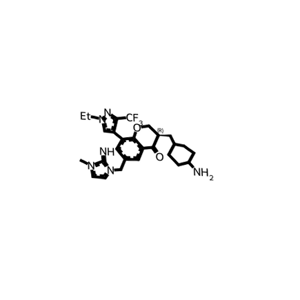 CCn1cc(-c2cc(Cn3ccn(C)c3=N)cc3c2OC[C@@H](CC2CCC(N)CC2)C3=O)c(C(F)(F)F)n1